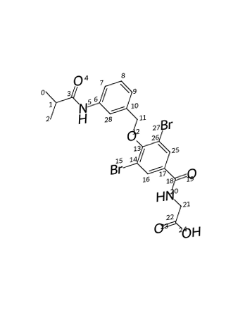 CC(C)C(=O)Nc1cccc(COc2c(Br)cc(C(=O)NCC(=O)O)cc2Br)c1